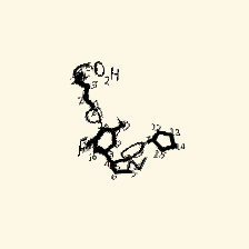 CC1CC(c2cccnc2OC2CCCC2)=CC(F)=C1OCCCCC(=O)O